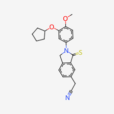 COc1ccc(N2Cc3ccc(CC#N)cc3C2=S)cc1OC1CCCC1